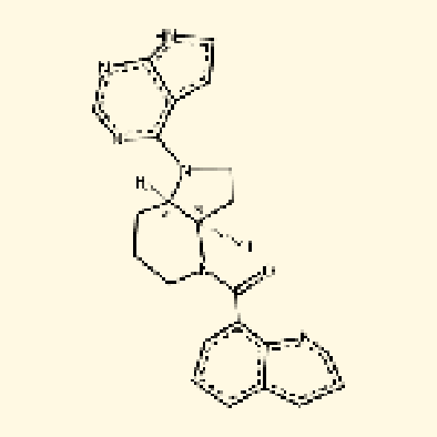 O=C(c1cccc2cccnc12)N1CCC[C@@H]2[C@H]1CCN2c1ncnc2[nH]ccc12